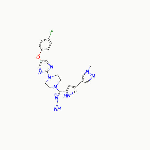 Cn1cc(-c2c[nH]c(/C(=N\C=N)N3CCN(c4ncc(Oc5ccc(F)cc5)cn4)CC3)c2)cn1